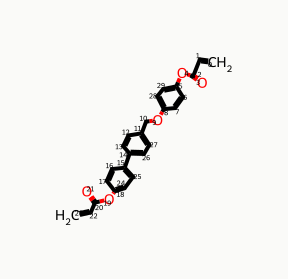 C=CC(=O)Oc1ccc(OCc2ccc(-c3ccc(OC(=O)C=C)cc3)cc2)cc1